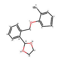 CC(C)(C)c1ccccc1OCc1ccccc1C1OCCO1